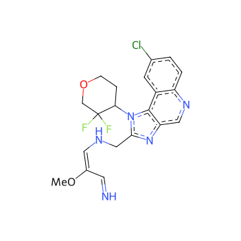 CO/C(C=N)=C/NCc1nc2cnc3ccc(Cl)cc3c2n1C1CCOCC1(F)F